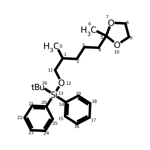 CC(CCCC1(C)OCCO1)CO[Si](c1ccccc1)(c1ccccc1)C(C)(C)C